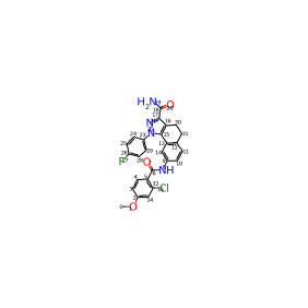 COc1ccc(C(=O)Nc2ccc3c(c2)-c2c(c(C(N)=O)nn2-c2ccc(F)cc2)CC3)c(Cl)c1